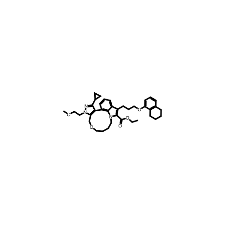 CCOC(=O)c1c(CCCOc2cccc3c2CCCC3)c2cccc3c2n1CCCCOCc1c-3c(C2CC2)nn1CCOC